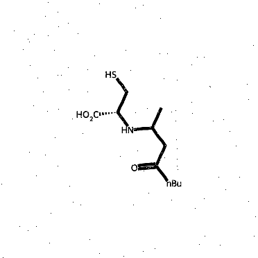 CCCCC(=O)CC(C)N[C@@H](CS)C(=O)O